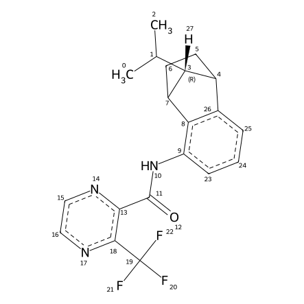 CC(C)[C@@H]1C2CCC1c1c(NC(=O)c3nccnc3C(F)(F)F)cccc12